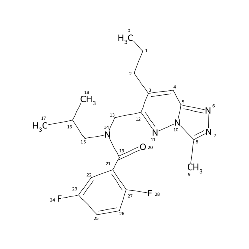 CCCc1cc2nnc(C)n2nc1CN(CC(C)C)C(=O)c1cc(F)ccc1F